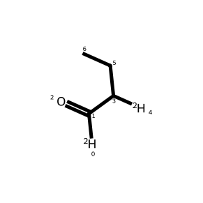 [2H]C(=O)C([2H])CC